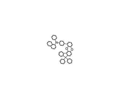 c1ccc(N(c2ccc(-c3cccc4c3Oc3c(ccc5c3-c3ccccc3C5(c3ccccc3)c3ccccc3)O4)cc2)c2cccc3ccccc23)cc1